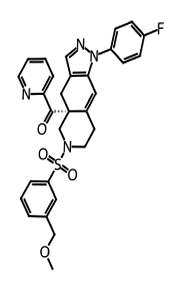 COCc1cccc(S(=O)(=O)N2CCC3=Cc4c(cnn4-c4ccc(F)cc4)C[C@]3(C(=O)c3ccccn3)C2)c1